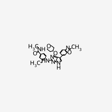 CCc1cc(C(=O)NC)ccc1Nc1nc(OC2CCOCC2)c2c(-c3ccc4nc(C)oc4c3)c[nH]c2n1